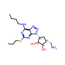 CCCCNc1nc(SCCC)nc2c1nnn2[C@@H]1C[C@H](CN)[C@@H](O)[C@H]1O